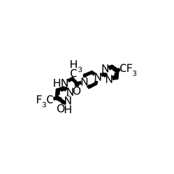 C[C@H](Nc1cc(C(F)(F)F)c(=O)[nH]n1)C(=O)N1CCN(c2ncc(C(F)(F)F)cn2)CC1